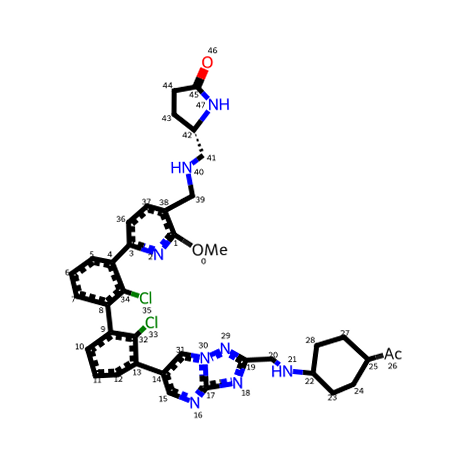 COc1nc(-c2cccc(-c3cccc(-c4cnc5nc(CNC6CCC(C(C)=O)CC6)nn5c4)c3Cl)c2Cl)ccc1CNC[C@@H]1CCC(=O)N1